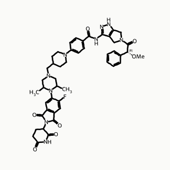 CO[C@@H](C(=O)N1Cc2[nH]nc(NC(=O)c3ccc(N4CCC(CN5CC(C)N(c6cc7c(cc6F)C(=O)N(C6CCC(=O)NC6=O)C7=O)C(C)C5)CC4)cc3)c2C1)c1ccccc1